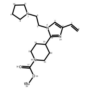 C=Cc1cn(CCN2CCCC2)c(C2CCN(C(=O)OC(C)(C)C)CC2)n1